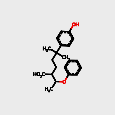 CC(Oc1ccccc1)C(CCC(C)(C)c1ccc(O)cc1)C(=O)O